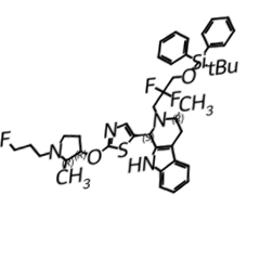 C[C@@H]1[C@H](Oc2ncc([C@@H]3c4[nH]c5ccccc5c4C[C@@H](C)N3CC(F)(F)CO[Si](c3ccccc3)(c3ccccc3)C(C)(C)C)s2)CCN1CCCF